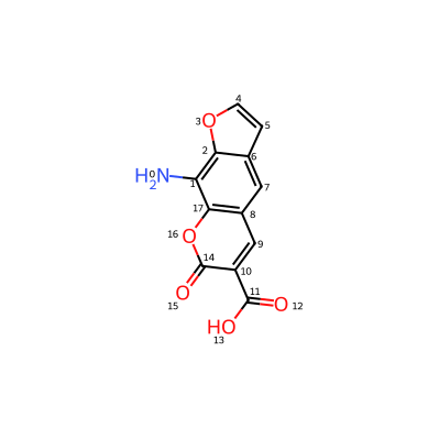 Nc1c2occc2cc2cc(C(=O)O)c(=O)oc12